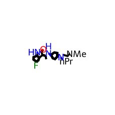 CCCN(CCNC)c1ccc(N/C(C)=C2\C(=O)Nc3ccc(F)cc32)cc1